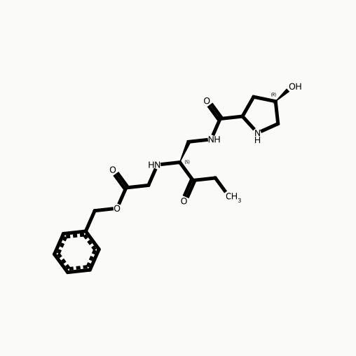 CCC(=O)[C@H](CNC(=O)C1C[C@@H](O)CN1)NCC(=O)OCc1ccccc1